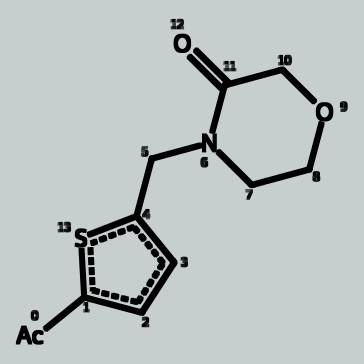 CC(=O)c1ccc(CN2CCOCC2=O)s1